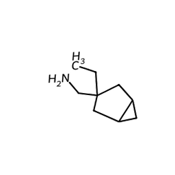 CCC1(CN)CC2CC2C1